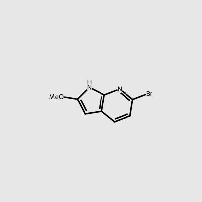 COc1cc2ccc(Br)nc2[nH]1